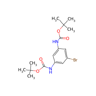 CC(C)(C)OC(=O)Nc1cc(Br)cc(NC(=O)OC(C)(C)C)c1